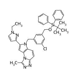 CCn1ccc(-c2cc3c(ccc4nnc(C)n43)n2Cc2cc(Cl)cc(CO[Si](c3ccccc3)(c3ccccc3)C(C)(C)C)c2)n1